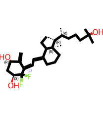 C=C1/C(=C\C=C2CCC[C@@]3(C)C2CC[C@@H]3[C@H](C)CCCC(C)(C)O)C(F)(F)[C@@H](O)C[C@H]1O